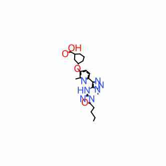 CCCCc1nc(Nc2c(-c3ccc(OC4CCCC(C(=O)O)C4)c(C)n3)nnn2C)no1